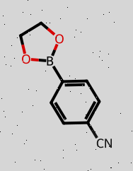 N#Cc1ccc(B2OCCO2)cc1